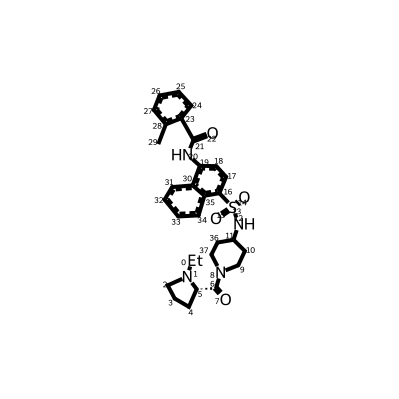 CCN1CCC[C@H]1C(=O)N1CCC(NS(=O)(=O)c2ccc(NC(=O)c3ccccc3C)c3ccccc23)CC1